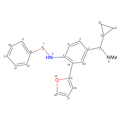 CNC(c1ccc(NSc2ccccc2)c(-c2ccco2)c1)C1CC1